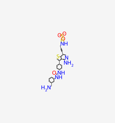 NCc1cccc(NC(=O)Nc2ccc(-c3csc4c(C#CCNCO[SH](=O)=O)cnc(N)c34)cc2)c1